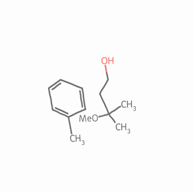 COC(C)(C)CCO.Cc1ccccc1